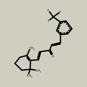 CC1=C(/C=C/C(=O)/C=C/c2cccc(C(F)(F)F)c2)C(C)(C)CCC1